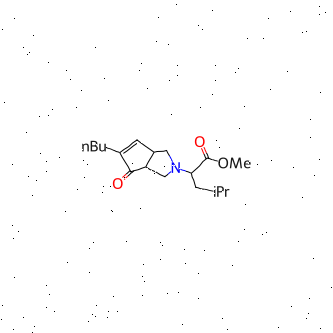 CCCCC1=CC2CN(C(CC(C)C)C(=O)OC)CC2C1=O